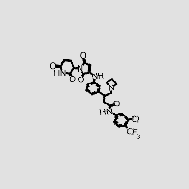 O=C1CCC(N2C(=O)C=C(Nc3cccc(C(CC(=O)Nc4ccc(C(F)(F)F)c(Cl)c4)CN4CCC4)c3)C2=O)C(=O)N1